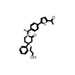 CC(=O)c1ccc(-c2ccc([C@H](C)N3CC[C@](CCCO)(c4ccccc4)CC3=O)cc2)s1